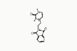 CC1C(=O)N(C)CCN1CCN1C(=O)c2ccccc2C1=O